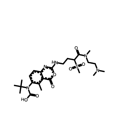 Cc1c(N(C(=O)O)C(C)(C)C)ccc2nc(NCCC(C(=O)N(C)CCN(C)C)S(C)(=O)=O)oc(=O)c12